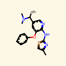 CCCC(c1cnc(Nc2nc(C)cs2)c(Oc2ccccc2)c1)N(C)C